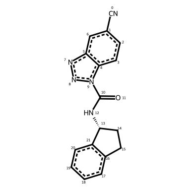 N#Cc1ccc2c(c1)nnn2C(=O)N[C@@H]1CCc2ccccc21